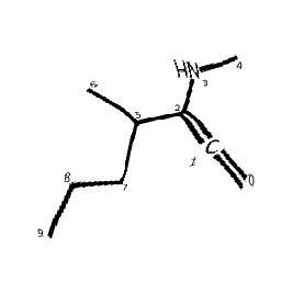 C=C=C(NC)C(C)CCC